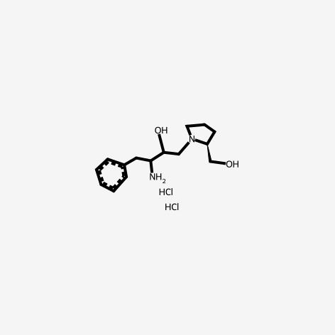 Cl.Cl.NC(Cc1ccccc1)C(O)CN1CCC[C@H]1CO